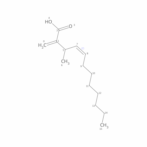 C=C(C(=O)O)C(C)/C=C\CCCCCCC